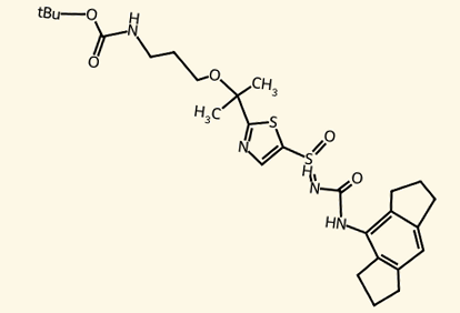 CC(C)(C)OC(=O)NCCCOC(C)(C)c1ncc(/[SH](=O)=N/C(=O)Nc2c3c(cc4c2CCC4)CCC3)s1